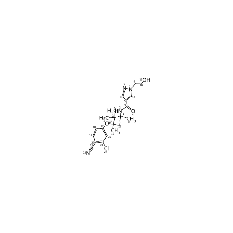 CC1(NC(=O)c2cnn(CCO)c2)CC(C)(Oc2ccc(C#N)c(Cl)c2)C1(C)C